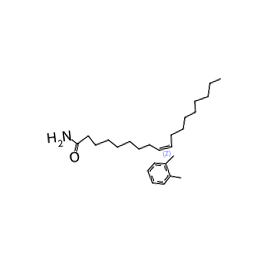 CCCCCCCC/C=C\CCCCCCCC(N)=O.Cc1ccccc1C